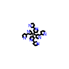 c1cncc(-c2cc([Si](c3ccnc(-c4cccnc4)c3)(c3ccnc(-c4cccnc4)c3)c3ccnc(-c4cccnc4)c3)ccn2)c1